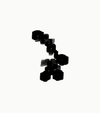 CN(C(=O)O)[C@H](C(=O)Nc1ccccc1CC[C@@H]1CN[C@H](CNS(=O)(=O)c2ccccn2)CO1)C(c1ccccc1)c1ccccc1